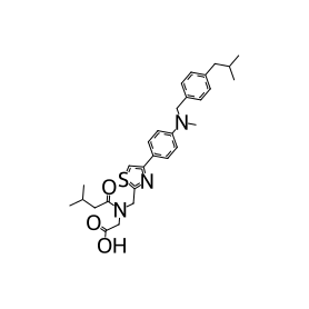 CC(C)CC(=O)N(CC(=O)O)Cc1nc(-c2ccc(N(C)Cc3ccc(CC(C)C)cc3)cc2)cs1